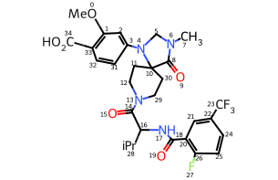 COc1cc(N2CN(C)C(=O)C23CCN(C(=O)C(NC(=O)c2cc(C(F)(F)F)ccc2F)C(C)C)CC3)ccc1C(=O)O